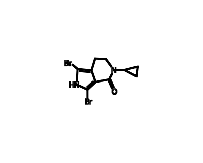 O=C1c2c(Br)[nH]c(Br)c2CCN1C1CC1